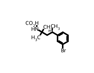 C[C@H](CC(C)(C)NC(=O)O)c1cccc(Br)c1